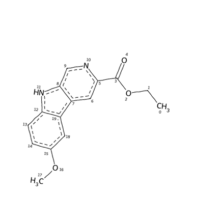 CCOC(=O)c1cc2c(cn1)[nH]c1ccc(OC)cc12